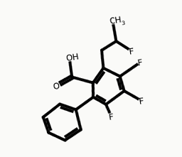 CC(F)Cc1c(F)c(F)c(F)c(-c2ccccc2)c1C(=O)O